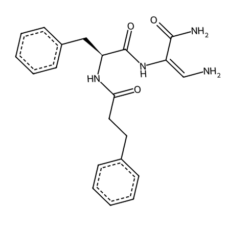 N/C=C(/NC(=O)[C@H](Cc1ccccc1)NC(=O)CCc1ccccc1)C(N)=O